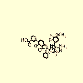 COc1ccc(-c2nn([C@@H](C)c3nc4ccc(-c5cccc(C(=O)O)c5)c(Cl)c4c(=O)n3-c3ccccc3)c3ncnc(N)c23)c(F)c1F